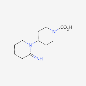 N=C1CCCCN1C1CCN(C(=O)O)CC1